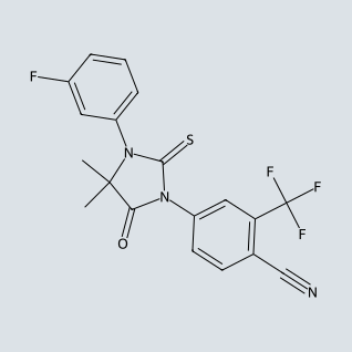 CC1(C)C(=O)N(c2ccc(C#N)c(C(F)(F)F)c2)C(=S)N1c1cccc(F)c1